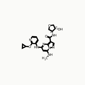 CNc1cc(Nc2cccnc2OC2CC2)nc2c(C(=O)N[C@@H]3COC[C@@H]3O)cnn12